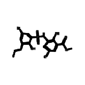 CCCc1cc(Br)cc(S(=O)(=O)Nc2cc(Cl)cc(C(=O)OC)c2O)c1O